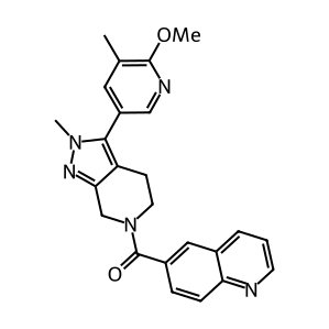 COc1ncc(-c2c3c(nn2C)CN(C(=O)c2ccc4ncccc4c2)CC3)cc1C